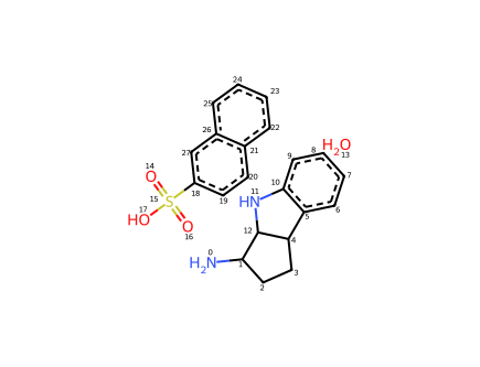 NC1CCC2c3ccccc3NC12.O.O=S(=O)(O)c1ccc2ccccc2c1